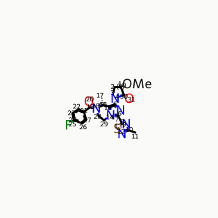 CO[C@@H]1CCN(c2nc(-c3nc(C)ns3)n3c2[C@@H](C)N(C(=O)c2ccc(F)cc2)CC3)C1=O